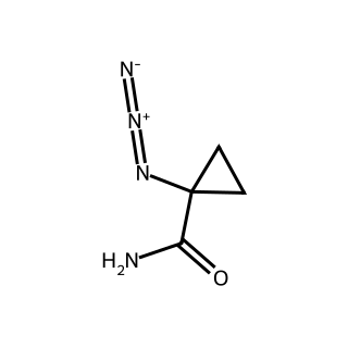 [N-]=[N+]=NC1(C(N)=O)CC1